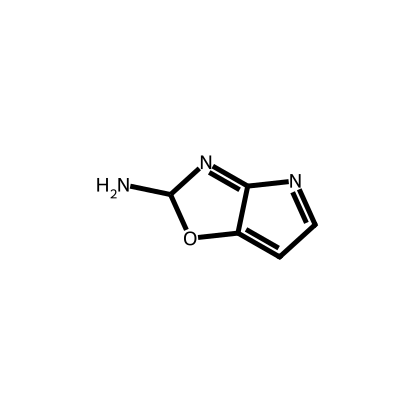 NC1N=C2N=CC=C2O1